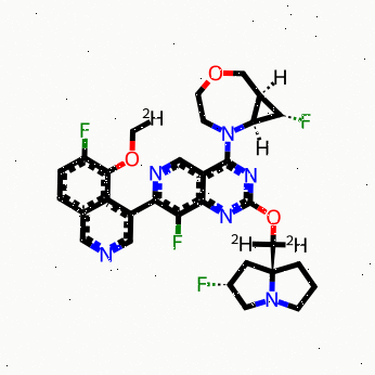 [2H]COc1c(F)ccc2cncc(-c3ncc4c(N5CCOC[C@H]6[C@H](F)[C@H]65)nc(OC([2H])([2H])[C@@]56CCCN5C[C@H](F)C6)nc4c3F)c12